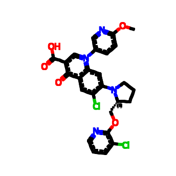 COc1ccc(-n2cc(C(=O)O)c(=O)c3cc(Cl)c(N4CCC[C@@H]4COc4ncccc4Cl)cc32)cn1